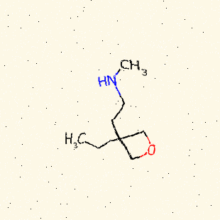 CCC1(CCNC)COC1